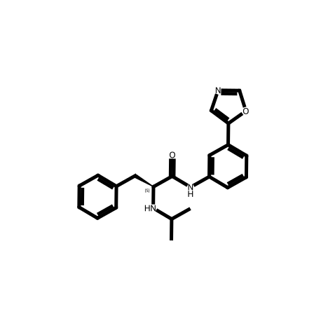 CC(C)N[C@@H](Cc1ccccc1)C(=O)Nc1cccc(-c2cnco2)c1